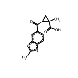 Cc1nc2ccc(C(=O)[C@H]3C[C@]3(C)C(=O)O)cc2s1